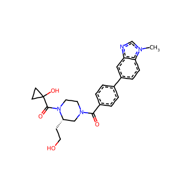 Cn1cnc2cc(-c3ccc(C(=O)N4CCN(C(=O)C5(O)CC5)[C@@H](CCO)C4)cc3)ccc21